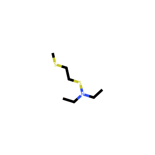 CCN(CC)SCCSC